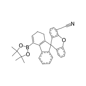 CC1(C)OB(C2=CCCC3=C2c2ccccc2C32c3ccccc3Oc3c(C#N)cccc32)OC1(C)C